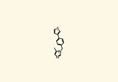 Cc1cncn1Cc1ccc(-c2ccsc2)cc1